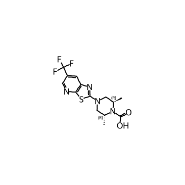 C[C@@H]1CN(c2nc3cc(C(F)(F)F)cnc3s2)C[C@@H](C)N1C(=O)O